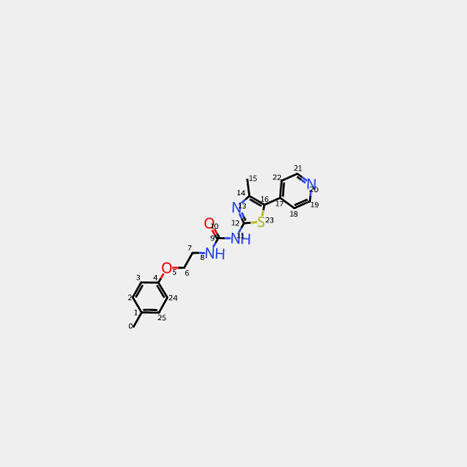 Cc1ccc(OCCNC(=O)Nc2nc(C)c(-c3ccncc3)s2)cc1